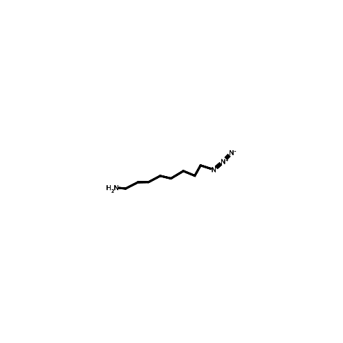 [N-]=[N+]=NCCCCCCCCN